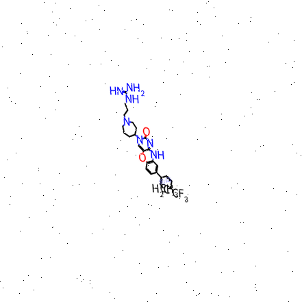 C=C(/C=C\C(=C/C)c1ccc2c(c1)Nc1nc(=O)n(C3CCCN(CCCNC(=N)N)CC3)cc1O2)C(F)(F)F